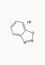 F.c1ccc2onnc2c1